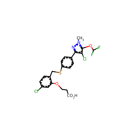 Cn1nc(-c2ccc(SCc3ccc(Cl)cc3OCCC(=O)O)cc2)c(Cl)c1OC(F)F